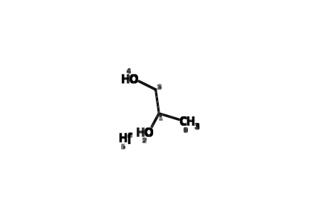 CC(O)CO.[Hf]